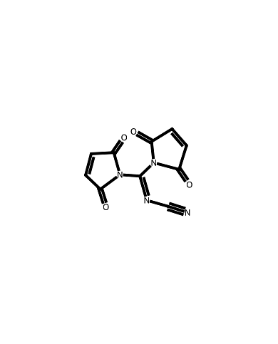 N#CN=C(N1C(=O)C=CC1=O)N1C(=O)C=CC1=O